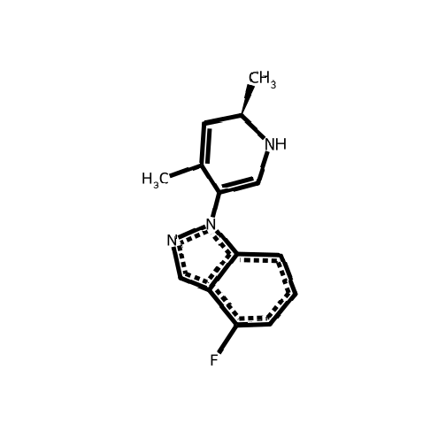 CC1=C[C@@H](C)NC=C1n1ncc2c(F)cccc21